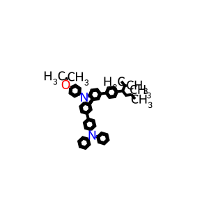 CC(C)CC(c1ccc(-c2ccc3c(c2)c2cc(-c4ccc(N(c5ccccc5)c5ccccc5)cc4)ccc2n3-c2ccc(OC(C)C)cc2)cc1)C(C)C